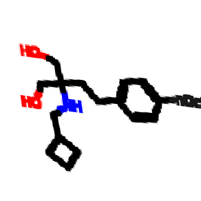 CCCCCCCCc1ccc(CCC(CO)(CO)NCC2CCC2)cc1